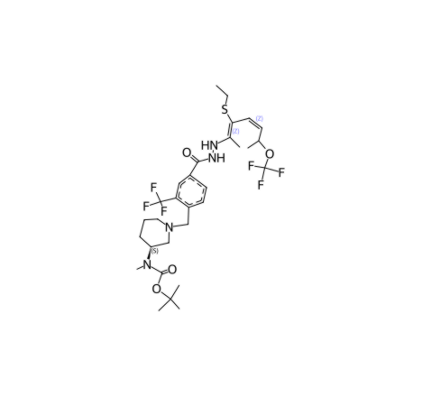 CCSC(/C=C\C(C)OC(F)(F)F)=C(/C)NNC(=O)c1ccc(CN2CCC[C@H](N(C)C(=O)OC(C)(C)C)C2)c(C(F)(F)F)c1